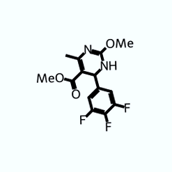 COC(=O)C1=C(C)N=C(OC)NC1c1cc(F)c(F)c(F)c1